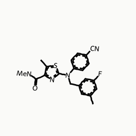 CNC(=O)c1nc(N(Cc2cc(C)cc(F)c2)c2ccc(C#N)cc2)sc1C